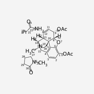 CC(=O)Oc1ccc2c3c1O[C@H]1[C@@H](OC(C)=O)C=C[C@H]4[C@@H](C2)N(C)CC[C@@]341.CC(C)C(N)=O.CN1CCCC1=O